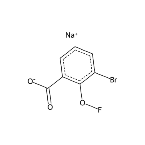 O=C([O-])c1cccc(Br)c1OF.[Na+]